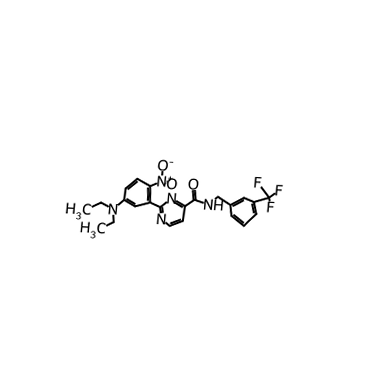 CCN(CC)c1ccc([N+](=O)[O-])c(-c2nccc(C(=O)NCc3cccc(C(F)(F)F)c3)n2)c1